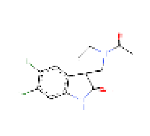 CC(=O)N1CC[C@]2(C1)C(=O)Nc1cc(Cl)c(Cl)cc12